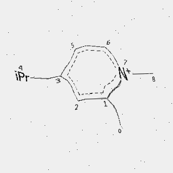 Cc1cc(C(C)C)cc[n+]1C